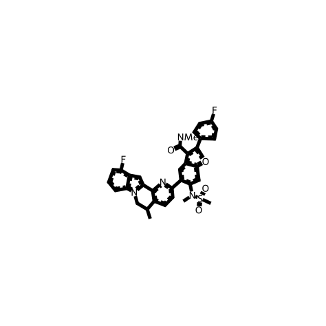 CNC(=O)c1c(-c2ccc(F)cc2)oc2cc(N(C)S(C)(=O)=O)c(-c3ccc4c(n3)-c3cc5c(F)cccc5n3CC4C)cc12